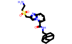 NCCS(=O)(=O)Cc1cn2c(C(=O)NCC34CC5CC(CC(C5)C3)C4)cccc2n1